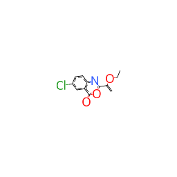 C=C(OCC)c1nc2ccc(Cl)cc2c(=O)o1